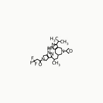 CC(C)c1n[nH]c2c1CN(C1COC1)CC(CC(C)c1n[nH]c3c1CN(C(=O)CC(F)(F)F)C3)C2